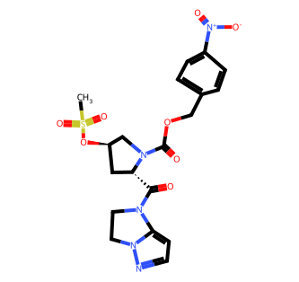 CS(=O)(=O)O[C@@H]1C[C@@H](C(=O)N2CCn3nccc32)N(C(=O)OCc2ccc([N+](=O)[O-])cc2)C1